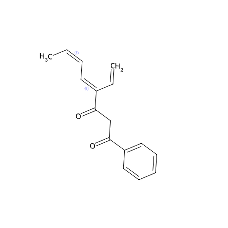 C=C/C(=C\C=C/C)C(=O)CC(=O)c1ccccc1